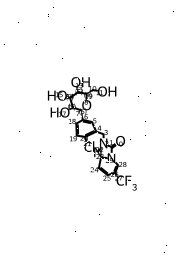 O=c1n(Cc2cc([C@@H]3O[C@H](CO)[C@@H](O)[C@H](O)[C@@H]3O)ccc2Cl)nc2ccc(C(F)(F)F)cn12